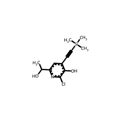 CC(O)c1cc(C#C[Si](C)(C)C)c(O)c(Cl)n1